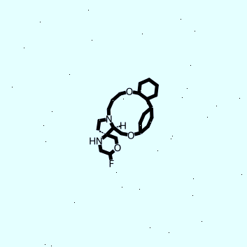 FC1CN[C@]2(CCN3CCCOC4CCCCC4C4CCC(CC4)OC[C@H]32)CO1